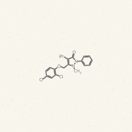 CC(C)c1c(COc2ccc(Cl)cc2Cl)n(C)n(-c2ccccc2)c1=O